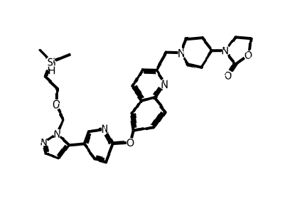 C[SiH](C)CCOCn1nccc1-c1ccc(Oc2ccc3nc(CN4CCC(N5CCOC5=O)CC4)ccc3c2)nc1